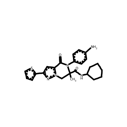 CC1(C(=O)NC2CCCCC2)Cn2nc(-c3cccs3)cc2C(=O)N1c1ccc(N)cc1